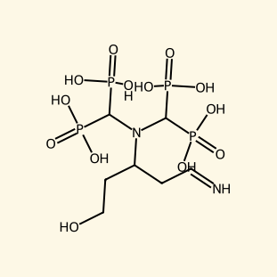 N=CCC(CCO)N(C(P(=O)(O)O)P(=O)(O)O)C(P(=O)(O)O)P(=O)(O)O